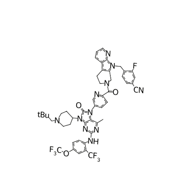 Cc1nc(Nc2ccc(OC(F)(F)F)cc2C(F)(F)F)nc2c1n(-c1ccc(C(=O)N3CCc4c(n(Cc5ccc(C#N)cc5F)c5ncccc45)C3)nc1)c(=O)n2C1CCN(CC(C)(C)C)CC1